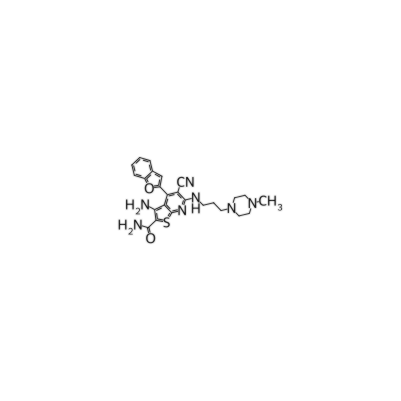 CN1CCN(CCCNc2nc3sc(C(N)=O)c(N)c3c(-c3cc4ccccc4o3)c2C#N)CC1